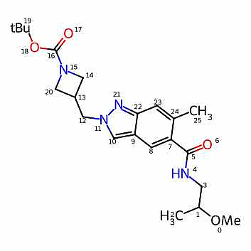 COC(C)CNC(=O)c1cc2cn(CC3CN(C(=O)OC(C)(C)C)C3)nc2cc1C